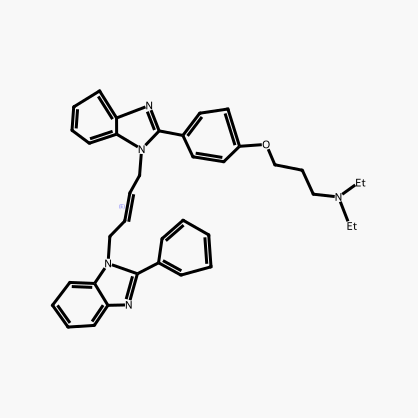 CCN(CC)CCCOc1ccc(-c2nc3ccccc3n2C/C=C/Cn2c(-c3ccccc3)nc3ccccc32)cc1